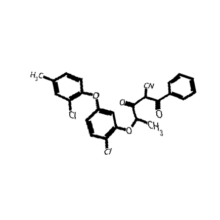 Cc1ccc(Oc2ccc(Cl)c(OC(C)C(=O)C(C#N)C(=O)c3ccccc3)c2)c(Cl)c1